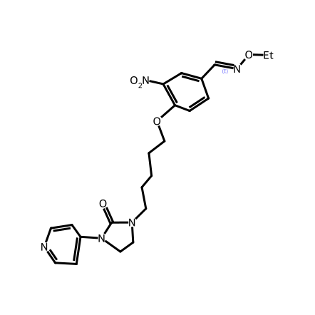 CCO/N=C/c1ccc(OCCCCCN2CCN(c3ccncc3)C2=O)c([N+](=O)[O-])c1